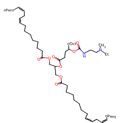 CCCCC/C=C\C/C=C\CCCCCCCC(=O)OCC(COC(=O)CCCCCCC/C=C\C/C=C\CCCCC)OC(=O)CCC(CCCCCCCC)OC(=O)NCCN(C)CC